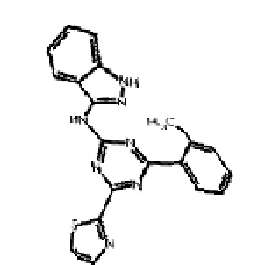 Cc1ccccc1-c1nc(Nc2n[nH]c3ccccc23)nc(-c2nccs2)n1